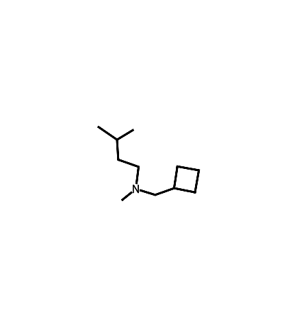 CC(C)CCN(C)CC1CCC1